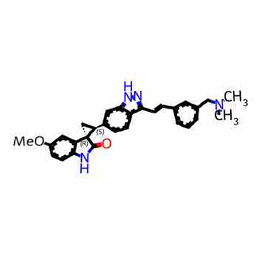 COc1ccc2c(c1)[C@]1(C[C@H]1c1ccc3c(C=Cc4cccc(CN(C)C)c4)n[nH]c3c1)C(=O)N2